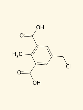 Cc1c(C(=O)O)cc(CCl)cc1C(=O)O